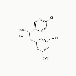 COc1cc(CC(C(=O)[O-])c2ccc(O)cc2)cc(OC)c1.[Na+]